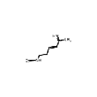 CCNCC/C=C/C(C)=N